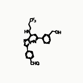 O=Cc1ccc(-c2cnc3c(NCCC(F)(F)F)cc(-c4cccc(CO)c4)nn23)cc1